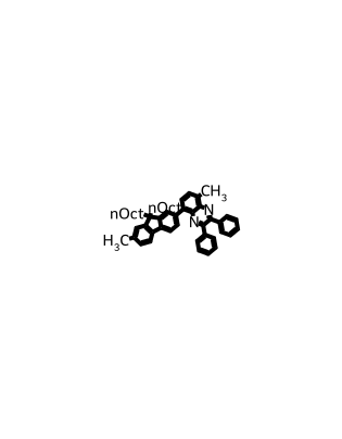 CCCCCCCCC1(CCCCCCCC)c2cc(C)ccc2-c2ccc(-c3ccc(C)c4nc(-c5ccccc5)c(-c5ccccc5)nc34)cc21